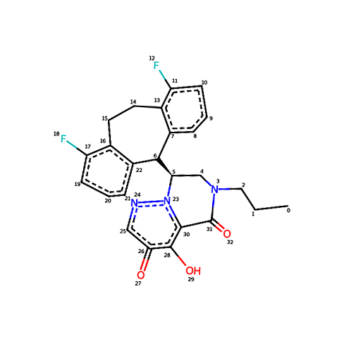 CCCN1C[C@H](C2c3cccc(F)c3CCc3c(F)cccc32)n2ncc(=O)c(O)c2C1=O